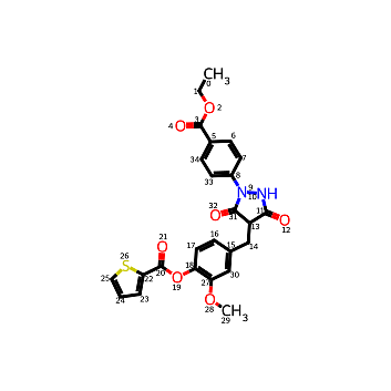 CCOC(=O)c1ccc(N2NC(=O)C(Cc3ccc(OC(=O)c4cccs4)c(OC)c3)C2=O)cc1